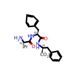 CC(C)[C@H](N)C(=O)N[C@@H](Cc1ccccc1)C(=O)N[C@@H](Cc1ccccc1)C(=O)O